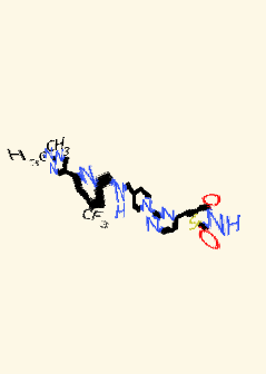 CN(C)c1ncc(-c2cc(C(F)(F)F)cc(CNCC3CCN(c4nccc(/C=C5\SC(=O)NC5=O)n4)CC3)n2)cn1